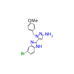 COc1ccc(Cn2nc(N)cc2-c2nc3cc(Br)ccc3[nH]2)cc1